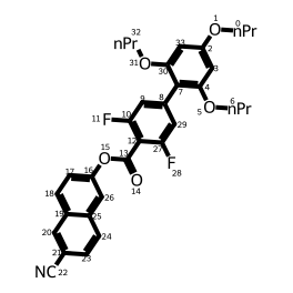 CCCOc1cc(OCCC)c(-c2cc(F)c(C(=O)Oc3ccc4cc(C#N)ccc4c3)c(F)c2)c(OCCC)c1